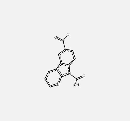 O=C(O)n1c2ccc([N+](=O)[O-])cc2c2cccnc21